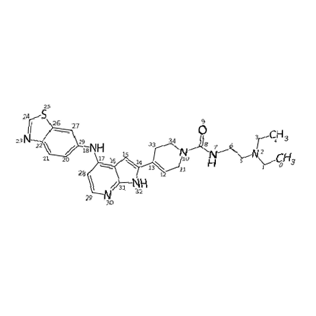 CCN(CC)CCNC(=O)N1CC=C(c2cc3c(Nc4ccc5ncsc5c4)ccnc3[nH]2)CC1